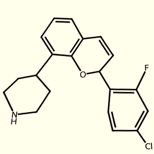 Fc1cc(Cl)ccc1C1C=Cc2cccc(C3CCNCC3)c2O1